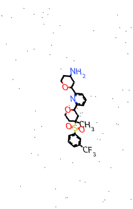 CC1(S(=O)(=O)c2cccc(C(F)(F)F)c2)CCOC(c2cccc(C3CC(N)CCO3)n2)C1